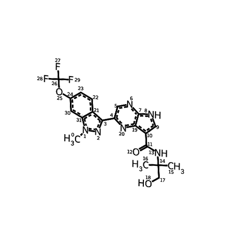 Cn1nc(-c2cnc3[nH]cc(C(=O)NC(C)(C)CO)c3n2)c2ccc(OC(F)(F)F)cc21